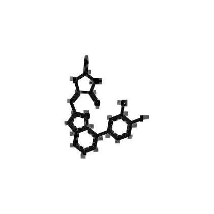 O=C1NC(=S)SC1=Cc1cc2cncc(-c3ccc(F)c(Cl)c3)c2o1